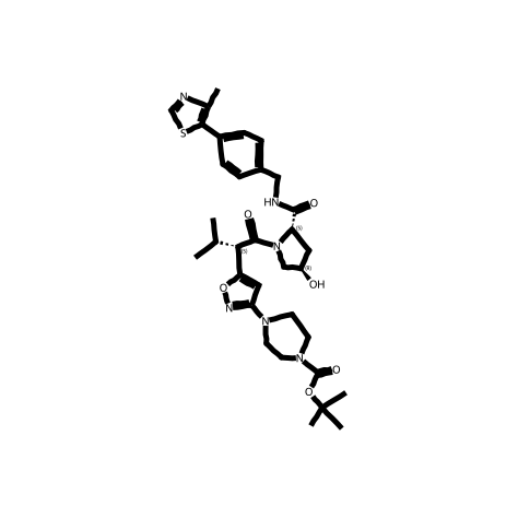 Cc1ncsc1-c1ccc(CNC(=O)[C@@H]2C[C@@H](O)CN2C(=O)[C@H](c2cc(N3CCN(C(=O)OC(C)(C)C)CC3)no2)C(C)C)cc1